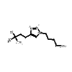 CCC(C)(C)CCc1cn(CCCCC(C)(C)C)nn1